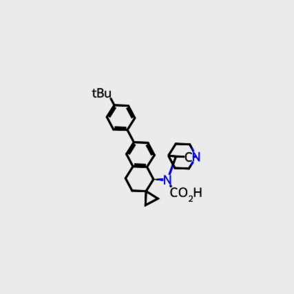 CC(C)(C)c1ccc(-c2ccc3c(c2)CCC2(CC2)[C@@H]3N(C(=O)O)C2CN3CCC2CC3)cc1